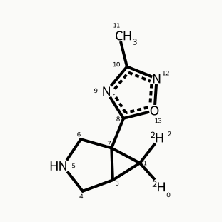 [2H]C1([2H])C2CNCC21c1nc(C)no1